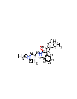 CCCCC1(CCCC)C(=O)N(CCCN(C)C)Cc2ccccc21